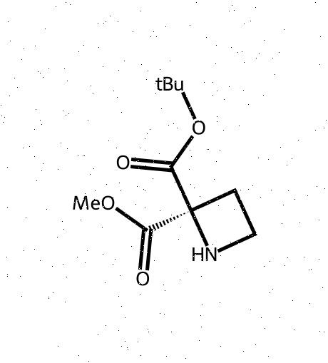 COC(=O)[C@]1(C(=O)OC(C)(C)C)CCN1